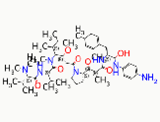 CC[C@H](C)C([C@@H](CC(=O)N1CCC[C@H]1[C@H](OC)[C@@H](C)C(=O)N[C@@H](CC1=CCC(C)C=C1)C(O)Nc1ccc(N)cc1)OC)N(C)C(=O)[C@@H](NC(=O)[C@H](C(C)C)N(C)C)C(C)C